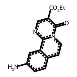 CCOC(=O)c1cnc2c3cc(N)ccc3ccn2c1=O